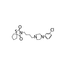 O=C1SC2(CCCC2)C(=O)N1CCCCN1CCN(c2cccc(Cl)c2)CC1